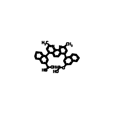 Cc1cc(-c2cc(OBO)cc3ccccc23)c2ccc3c(-c4cc(B(O)O)cc5ccccc45)cc(C)nc3c2n1